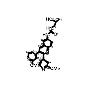 CCC(O)CNC(=O)Nc1ccc2nc(-c3ccnc(OC)c3)c(-c3ccnc(OC)c3)cc2c1